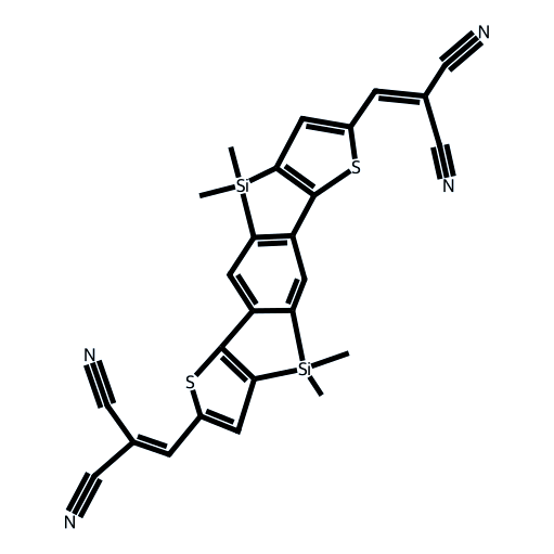 C[Si]1(C)c2cc3c(cc2-c2sc(C=C(C#N)C#N)cc21)[Si](C)(C)c1cc(C=C(C#N)C#N)sc1-3